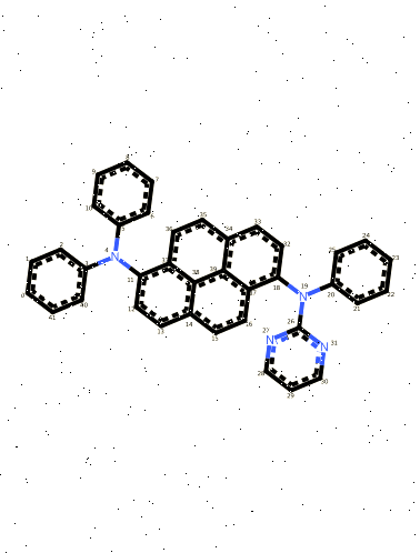 c1ccc(N(c2ccccc2)c2ccc3ccc4c(N(c5ccccc5)c5ncccn5)ccc5ccc2c3c54)cc1